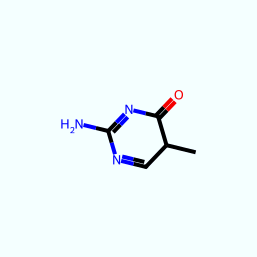 CC1C=NC(N)=NC1=O